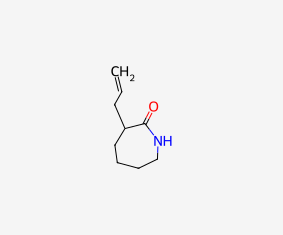 C=CCC1CCCCNC1=O